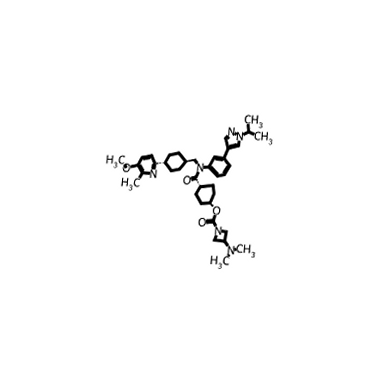 COc1ccc([C@H]2CC[C@H](CN(c3cccc(-c4cnn(C(C)C)c4)c3)C(=O)[C@H]3CC[C@H](OC(=O)N4CC(N(C)C)C4)CC3)CC2)nc1C